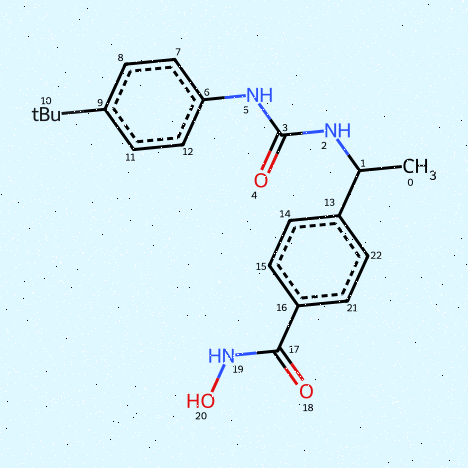 CC(NC(=O)Nc1ccc(C(C)(C)C)cc1)c1ccc(C(=O)NO)cc1